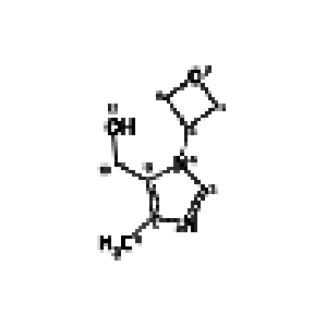 Cc1ncn(C2COC2)c1CO